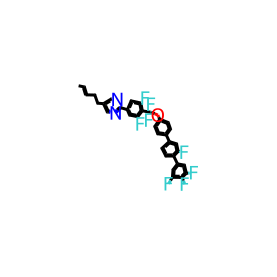 C/C=C/CCc1cnc(-c2cc(F)c(C(F)(F)Oc3ccc(-c4ccc(-c5cc(F)c(F)c(F)c5)c(F)c4)cc3)c(F)c2)nc1